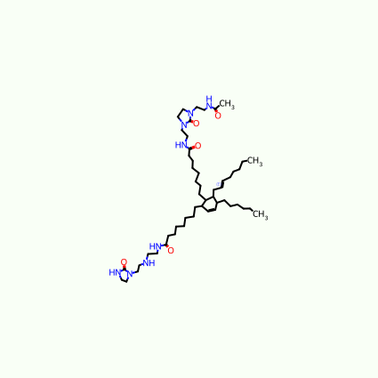 CCCCC/C=C/CC1C(CCCCCC)C=CC(CCCCCCCC(=O)NCCNCCN2CCNC2=O)C1CCCCCCCC(=O)NCCN1CCN(CCNC(C)=O)C1=O